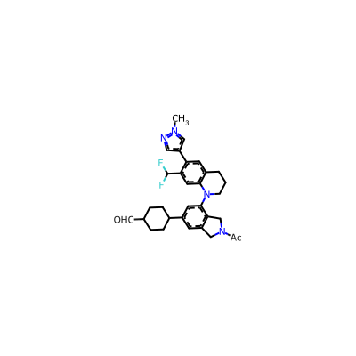 CC(=O)N1Cc2cc(C3CCC(C=O)CC3)cc(N3CCCc4cc(-c5cnn(C)c5)c(C(F)F)cc43)c2C1